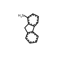 [SiH3]c1cccc2c1[CH]c1ccccc1-2